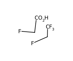 FCC(F)(F)F.O=C(O)CF